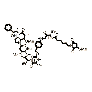 CC[C@H](C)[C@@H]([C@@H](CC(=O)N1CCC[C@H]1[C@H](OC)[C@@H](C)C(=O)N[C@H](C)[C@@H](O)c1ccccc1)OC)N(C)C(=O)[C@@H](NC(=O)[C@H](C(C)C)N(C)C(=O)OCc1ccc(NCC(=O)[C@@H](NC(=O)CCCCCN2C(=O)CC(SC)C2=O)C(C)C)cc1)C(C)C